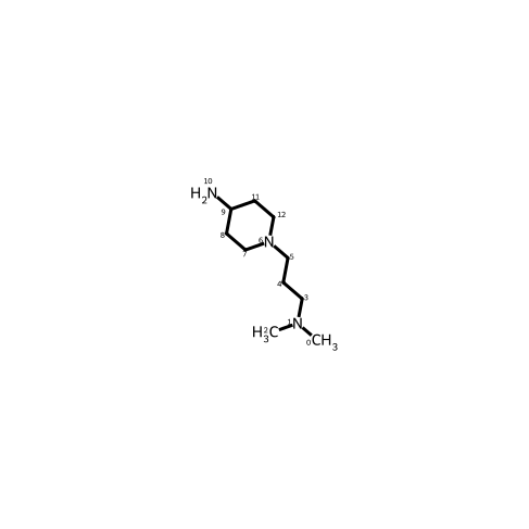 CN(C)CCCN1CCC(N)CC1